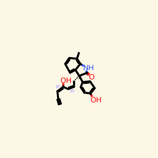 C#C/C=C(O)\C=C/C[C@@]1(c2ccc(O)cc2)C(=O)Nc2c(C)cccc21